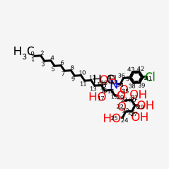 CCCCCCCCCCCCCCC(O)C(O)C(COC1OC(CO)C(O)C(O)C1O)N(C)C(=O)Cc1ccc(Cl)cc1